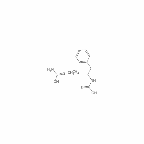 C.C.NC(O)=S.OC(=S)NCCc1ccccc1